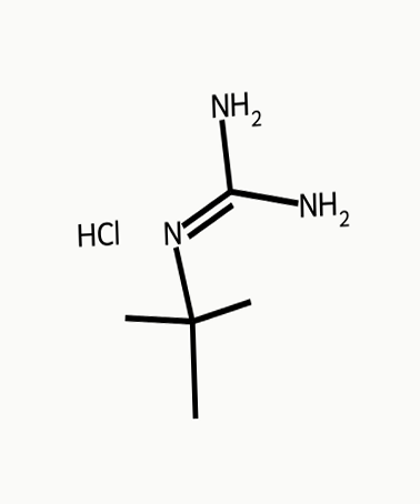 CC(C)(C)N=C(N)N.Cl